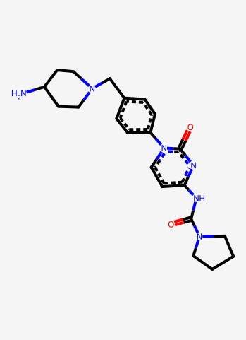 NC1CCN(Cc2ccc(-n3ccc(NC(=O)N4CCCC4)nc3=O)cc2)CC1